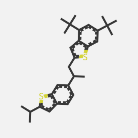 CC(C)c1cc2ccc(C(C)Cc3cc4c(C(C)(C)C)cc(C(C)(C)C)cc4s3)cc2s1